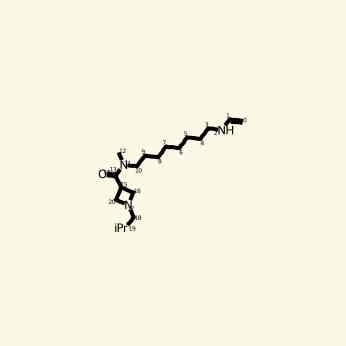 C=CNCCCCCCCCN(C)C(=O)C1CN(CC(C)C)C1